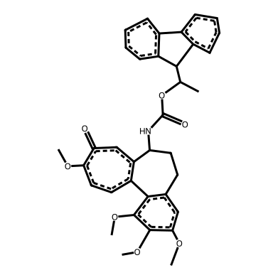 COc1cc2c(c(OC)c1OC)-c1ccc(OC)c(=O)cc1C(NC(=O)OC(C)C1c3ccccc3-c3ccccc31)CC2